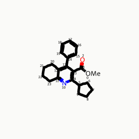 COC(=O)c1c(C2CCCC2)nc2c(c1-c1ccccc1)CCCC2